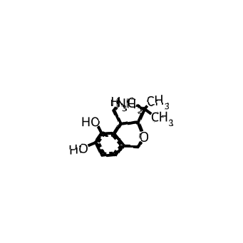 CC(C)(C)C1OCc2ccc(O)c(O)c2C1CN